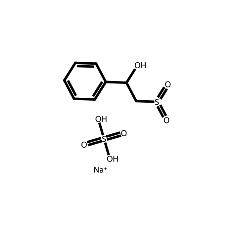 O=S(=O)(O)O.O=[S-](=O)CC(O)c1ccccc1.[Na+]